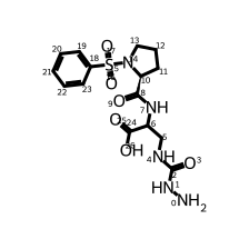 NNC(=O)NCC(NC(=O)[C@@H]1CCCN1S(=O)(=O)c1ccccc1)C(=O)O